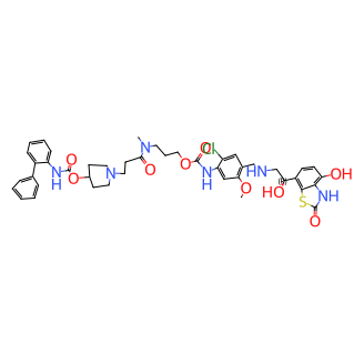 COc1cc(NC(=O)OCCCN(C)C(=O)CCN2CCC(OC(=O)Nc3ccccc3-c3ccccc3)CC2)c(Cl)cc1CNC[C@H](O)c1ccc(O)c2[nH]c(=O)sc12